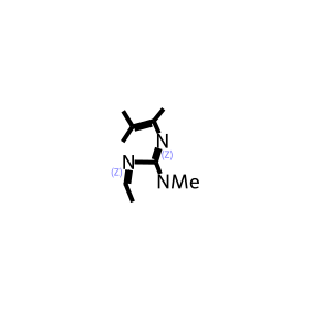 C/C=N\C(=N/C(C)=C(C)C)NC